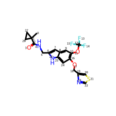 CC1(C(=O)NCc2cc3cc(OC(F)(F)F)c(OCc4cscn4)cc3[nH]2)CC1